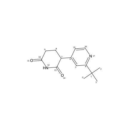 CC(C)(C)c1cc(C2CCC(=O)NC2=O)ccn1